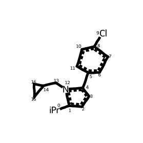 CC(C)c1ccc(-c2ccc(Cl)cc2)n1CC1CC1